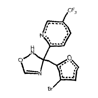 FC(F)(F)c1ccc(C2(c3occc3Br)N=CON2)nc1